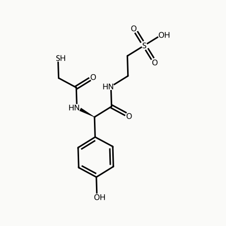 O=C(CS)N[C@@H](C(=O)NCCS(=O)(=O)O)c1ccc(O)cc1